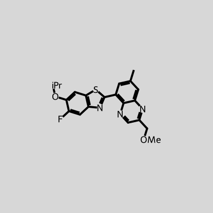 COCc1cnc2c(-c3nc4cc(F)c(OC(C)C)cc4s3)cc(C)cc2n1